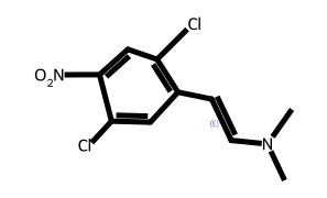 CN(C)/C=C/c1cc(Cl)c([N+](=O)[O-])cc1Cl